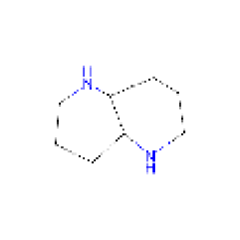 C1CNC2CCCNC2C1